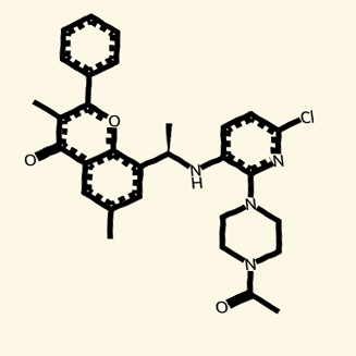 CC(=O)N1CCN(c2nc(Cl)ccc2N[C@H](C)c2cc(C)cc3c(=O)c(C)c(-c4ccccc4)oc23)CC1